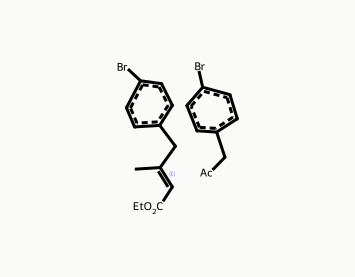 CC(=O)Cc1ccc(Br)cc1.CCOC(=O)/C=C(\C)Cc1ccc(Br)cc1